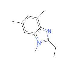 CCc1nc2c(C)cc(C)cc2n1C